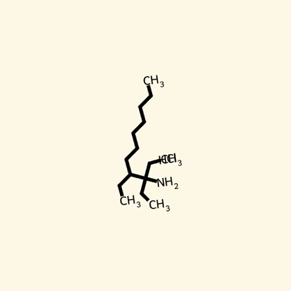 CCCCCCCC(CC)C(N)(CC)CC.Cl